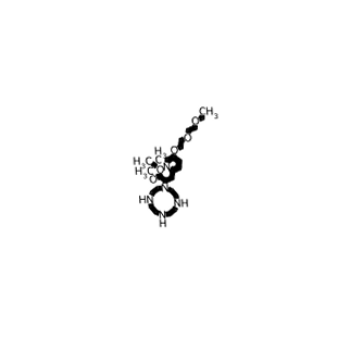 CCOCCOCCOc1ccc(CC(C(=O)OC(C)(C)C)N2CCNCCNCCNCC2)nc1